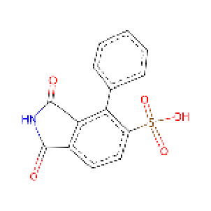 O=C1NC(=O)c2c1ccc(S(=O)(=O)O)c2-c1ccccc1